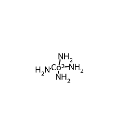 [NH2][Co-2]([NH2])([NH2])[NH2]